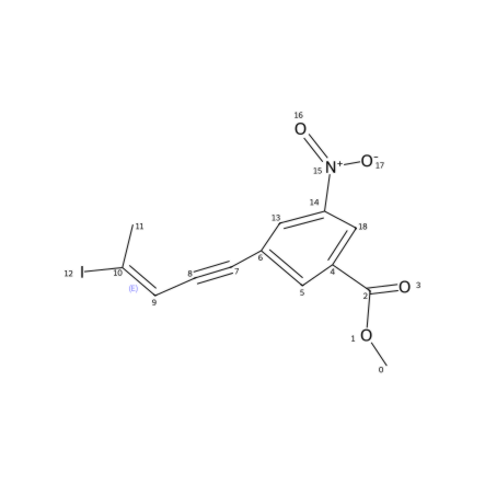 COC(=O)c1cc(C#C/C=C(\C)I)cc([N+](=O)[O-])c1